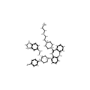 Fc1ccc([C@@H]2CCNC[C@H]2COc2ccc3c(c2)OCO3)cc1.OCCOCCN1CCN(C2=Nc3ccccc3Sc3ccccc32)CC1